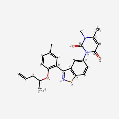 C=CCC(Oc1ccc(C)cc1-c1nsc2ccc(-n3c(=O)cc(C(F)(F)F)n(C)c3=O)cc12)C(=O)O